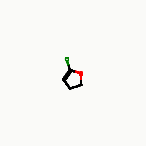 ClC1=CC[CH]O1